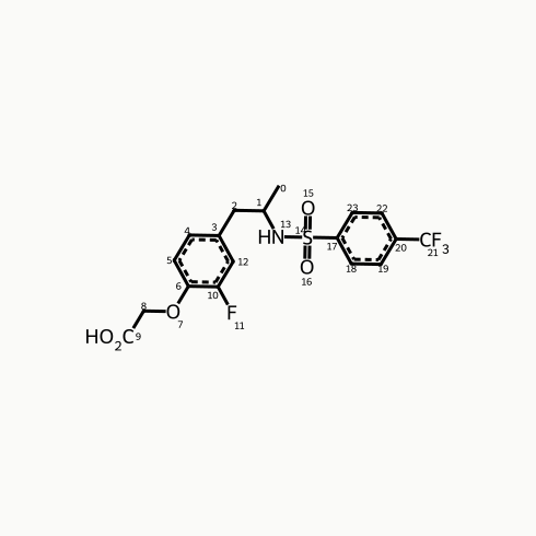 CC(Cc1ccc(OCC(=O)O)c(F)c1)NS(=O)(=O)c1ccc(C(F)(F)F)cc1